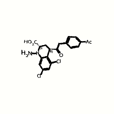 CC(=O)c1ccc(CC(=O)[C@@H]2C[C@@H](C(=O)O)N(N)c3cc(Cl)cc(Cl)c32)cc1